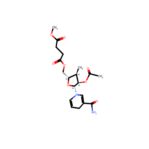 COC(=O)CCC(=O)OC[C@H]1O[C@@H](N2C=CCC(C(N)=O)=C2)[C@H](OC(C)=O)[C@@H]1C